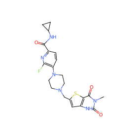 Cn1c(=O)[nH]c2cc(CN3CCN(c4ccc(C(=O)NC5CC5)nc4F)CC3)sc2c1=O